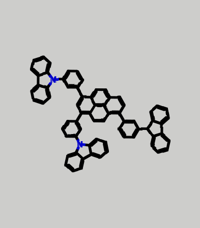 c1cc(-c2ccc3ccc4c(-c5cccc(-n6c7ccccc7c7ccccc76)c5)cc(-c5cccc(-n6c7ccccc7c7ccccc76)c5)c5ccc2c3c45)cc(C2c3ccccc3-c3ccccc32)c1